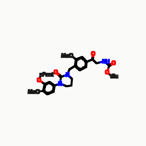 CCCCCOc1cc(N2CCCN(Cc3ccc(C(=O)CNC(=O)OC(C)(C)C)cc3OC)C2=O)ccc1OC